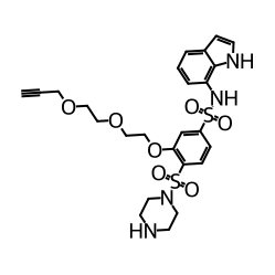 C#CCOCCOCCOc1cc(S(=O)(=O)Nc2cccc3cc[nH]c23)ccc1S(=O)(=O)N1CCNCC1